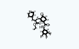 CCOC(=O)C(Cc1ccncc1)Sc1cc(C(=O)Nc2cc(F)c(F)c(F)c2)ccc1Cl